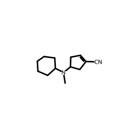 CN(C1CCCCC1)C1CC=C(C#N)C1